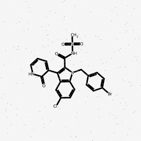 CS(=O)(=O)NC(=O)c1c(-c2ccc[nH]c2=O)c2cc(Cl)ccc2n1Cc1ccc(Br)cc1